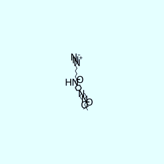 CC(C)(C)OC(=O)N1CCN(c2ccc(NC(=O)CCCCCN=[N+]=[N-])cc2)CC1